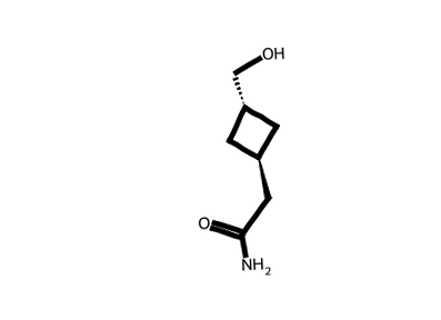 NC(=O)C[C@H]1C[C@H](CO)C1